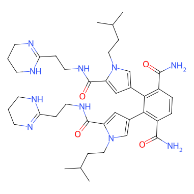 CC(C)CCn1cc(-c2c(C(N)=O)ccc(C(N)=O)c2-c2cc(C(=O)NCCC3=NCCCN3)n(CCC(C)C)c2)cc1C(=O)NCCC1=NCCCN1